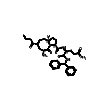 CCCC(=O)C1CC[C@H]2CC[C@@H](C(=O)N[C@@H](CCC(N)=O)C(=O)NC(c3ccccc3)c3ccccc3)N2C(=O)[C@@H](N)C1